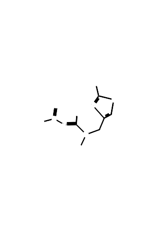 CN(Cc1csc(Cl)n1)/C(N)=N/[N+](=O)[O-]